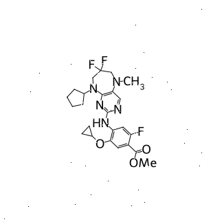 COC(=O)c1cc(OC2CC2)c(Nc2ncc3c(n2)N(C2CCCC2)CC(F)(F)CN3C)cc1F